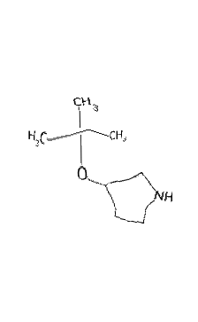 CC(C)(C)OC1CCNC1